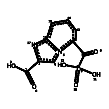 O=C(O)c1cn2c(C(=O)P(=O)(O)O)cccc2n1